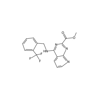 COC(=O)c1nc(NCc2ccccc2C(F)(F)F)c2cccnc2n1